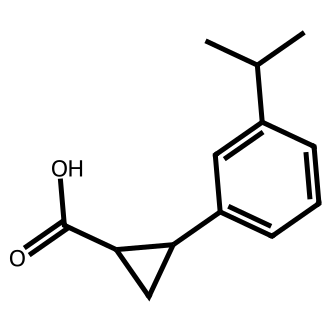 CC(C)c1cccc(C2CC2C(=O)O)c1